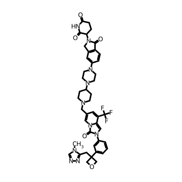 Cn1cnnc1CC1(c2cccc(-n3cc4c(C(F)(F)F)cc(CN5CCC(N6CCN(c7ccc8c(c7)CN(C7CCC(=O)NC7=O)C8=O)CC6)CC5)cn4c3=O)c2)COC1